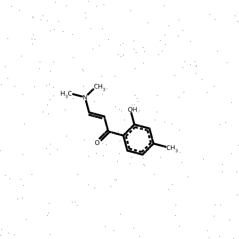 Cc1ccc(C(=O)C=CN(C)C)c(O)c1